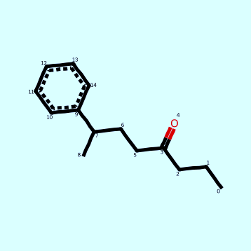 CCCC(=O)CCC(C)c1ccccc1